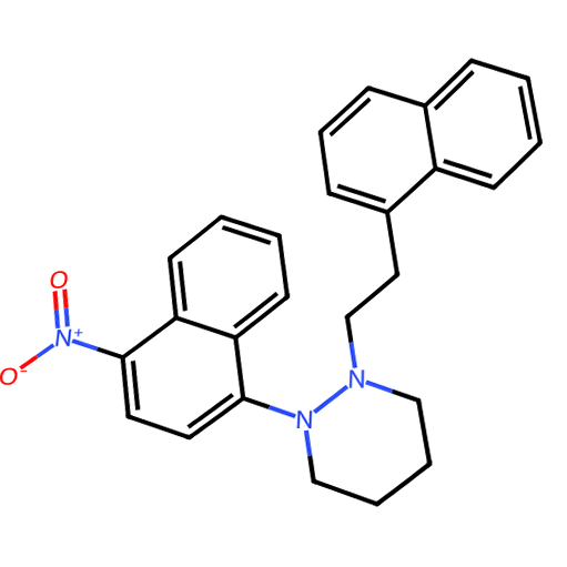 O=[N+]([O-])c1ccc(N2CCCCN2CCc2cccc3ccccc23)c2ccccc12